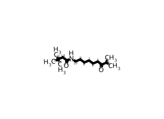 CC(C)C(=O)CCCCCCNC(=O)CC(C)(C)C